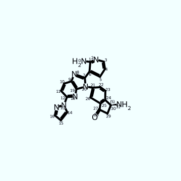 Nc1ncccc1-c1nc2ccc(-n3cccn3)nc2n1-c1ccc2c(c1)C(=O)C[C@@H]2N